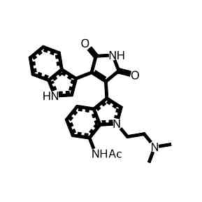 CC(=O)Nc1cccc2c(C3=C(c4c[nH]c5ccccc45)C(=O)NC3=O)cn(CCN(C)C)c12